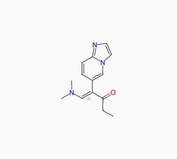 CCC(=O)/C(=C/N(C)C)c1ccc2nccn2c1